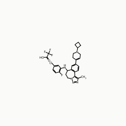 Cc1nnn2c1-c1ccc(C3=CCN(C4CCC4)CC3)cc1C(Nc1cc(Cl)ccc1F)CC2.O=C(O)C(F)(F)F